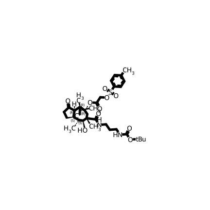 Cc1ccc(S(=O)(=O)OCC(=O)O[C@@H]2C[C@](C)(C(=O)NCCCNC(=O)OC(C)(C)C)[C@@H](O)[C@H](C)[C@]34CCC(=O)[C@H]3[C@@]2(C)[C@H](C)CC4)cc1